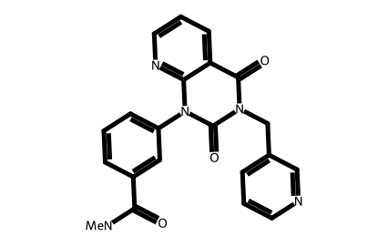 CNC(=O)c1cccc(-n2c(=O)n(Cc3cccnc3)c(=O)c3cccnc32)c1